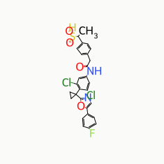 CC(c1ccc(CC(=O)Nc2cc(Cl)c(C3(c4ncc(-c5ccc(F)cc5)o4)CC3)c(Cl)c2)cc1)[SH](=O)=O